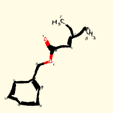 CC(C)=CC(=O)OCc1ccccc1